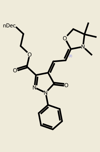 CCCCCCCCCCCCOC(=O)C1=NN(c2ccccc2)C(=O)C1=C/C=C1\OCC(C)(C)N1C